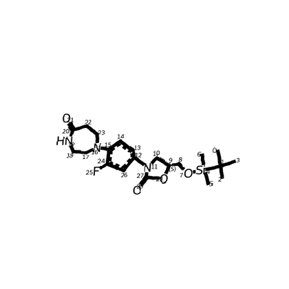 CC(C)(C)[Si](C)(C)OC[C@@H]1CN(c2ccc(N3CCNC(=O)CC3)c(F)c2)C(=O)O1